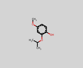 COc1ccc(O)c(OC(C)C)c1